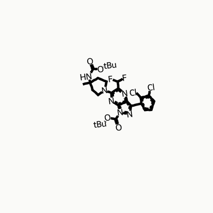 CC1(NC(=O)OC(C)(C)C)CCN(c2nc3c(nc2C(F)F)c(-c2cccc(Cl)c2Cl)nn3C(=O)OC(C)(C)C)CC1